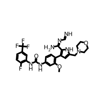 COc1cc(NC(=O)Nc2cc(C(F)(F)F)ccc2F)ccc1-c1cc(CN2CCOCC2)[nH]c1/C(N)=N\C=N